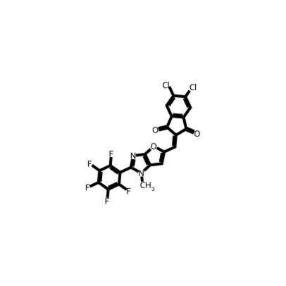 Cn1c(-c2c(F)c(F)c(F)c(F)c2F)nc2oc(C=C3C(=O)c4cc(Cl)c(Cl)cc4C3=O)cc21